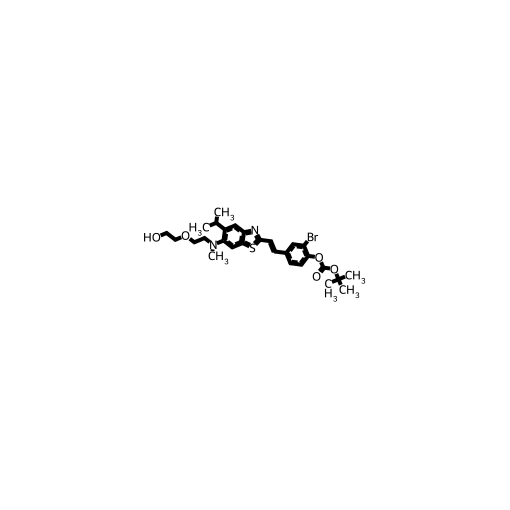 CC(C)c1cc2nc(C=Cc3ccc(OC(=O)OC(C)(C)C)c(Br)c3)sc2cc1N(C)CCOCCO